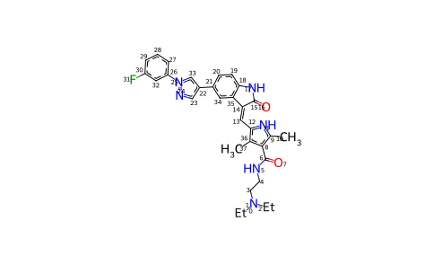 CCN(CC)CCNC(=O)c1c(C)[nH]c(/C=C2\C(=O)Nc3ccc(-c4cnn(-c5cccc(F)c5)c4)cc32)c1C